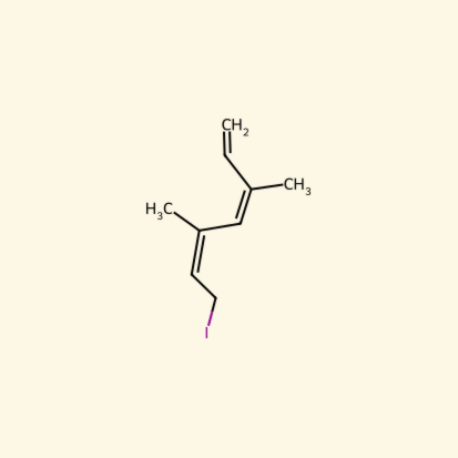 C=C/C(C)=C\C(C)=C/CI